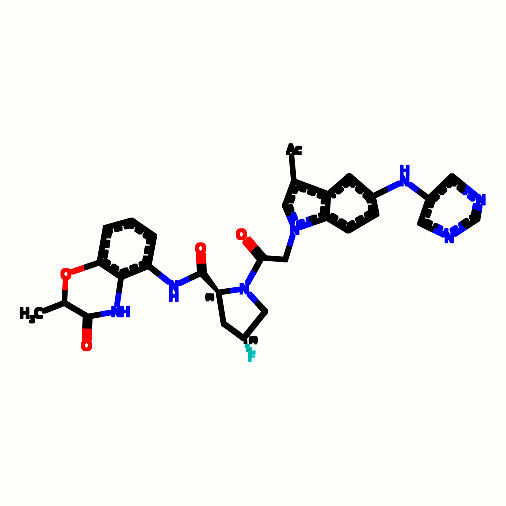 CC(=O)c1cn(CC(=O)N2C[C@H](F)C[C@H]2C(=O)Nc2cccc3c2NC(=O)C(C)O3)c2ccc(Nc3cncnc3)cc12